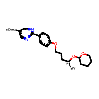 CCCCCCCCCCc1cnc(-c2ccc(OCCC[C@H](CCC)OC3CCCCO3)cc2)nc1